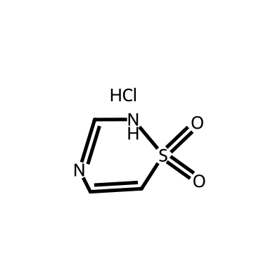 Cl.O=S1(=O)C=CN=CN1